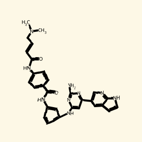 CN(C)C/C=C/C(=O)Nc1ccc(C(=O)Nc2cccc(Nc3cc(-c4cnc5[nH]ccc5c4)nc(N)n3)c2)cc1